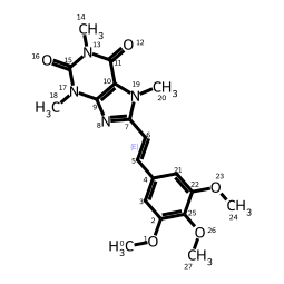 COc1cc(/C=C/c2nc3c(c(=O)n(C)c(=O)n3C)n2C)cc(OC)c1OC